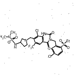 CCS(=O)(=O)c1ccc(Cl)cc1Cn1c(=O)[nH]c2c(Cl)c(CN3CCC(NS(=O)(=O)N(C)C)C3)c(C(F)(F)F)cc2c1=O